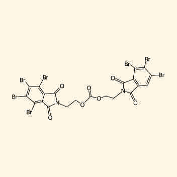 O=C(OCCN1C(=O)c2cc(Br)c(Br)c(Br)c2C1=O)OCCN1C(=O)c2c(Br)c(Br)c(Br)c(Br)c2C1=O